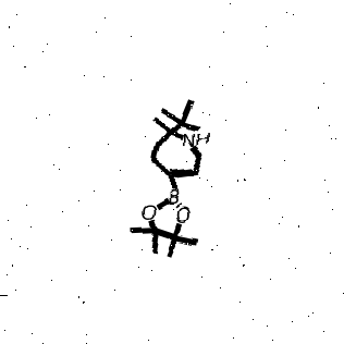 CC(C)(C)C1(C)CCC(B2OC(C)(C)C(C)(C)O2)=CCN1